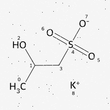 CC(O)CS(=O)(=O)[O-].[K+]